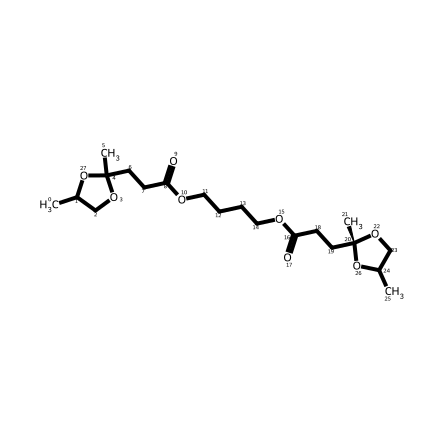 CC1COC(C)(CCC(=O)OCCCCOC(=O)CC[C@]2(C)OCC(C)O2)O1